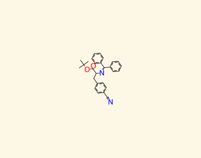 CC(C)(C)OC(=O)C(Cc1ccc(C#N)cc1)N=C(c1ccccc1)c1ccccc1